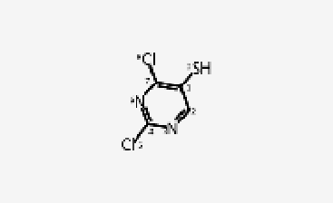 Sc1cnc(Cl)nc1Cl